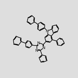 c1ccc(-c2ccc(-c3nc(-c4ccccc4)nc(-c4cc(-c5ccccc5)c5c6ccccc6n(-c6ccc(-c7ccccc7)cc6)c5c4)n3)cc2)cc1